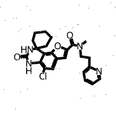 CN(CCc1ccccn1)C(=O)c1cc2cc(Cl)c3c(c2o1)C1(CCCCC1)NC(=O)N3